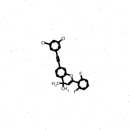 CC1(C)C=C(c2c(F)cccc2F)Oc2cc(C#Cc3cc(Cl)cc(Cl)c3)ccc21